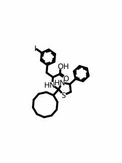 O=C(O)C(Cc1cccc(I)c1)NC1(C2CCCCCCCCC2)NC(c2ccccc2)CS1